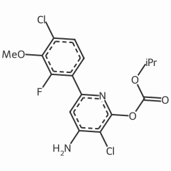 COc1c(Cl)ccc(-c2cc(N)c(Cl)c(OC(=O)OC(C)C)n2)c1F